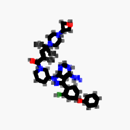 CC(C)(/C=C(\C#N)C(=O)N1CCC[C@H](n2nc(-c3ccc(Oc4ccccc4)cc3F)c3c(N)ncnc32)C1)N1CCN(C2COC2)CC1